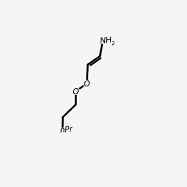 CCCCCOOC=CN